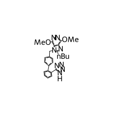 CCCCc1nc2c(OC)nnc(OC)c2n1Cc1ccc(-c2ccccc2-c2nnn[nH]2)cc1